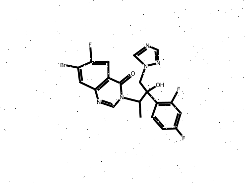 CC(n1cnc2cc(Br)c(F)cc2c1=O)C(O)(Cn1cncn1)c1ccc(F)cc1F